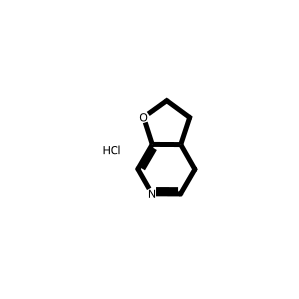 C1=NC=C2OCCC2C1.Cl